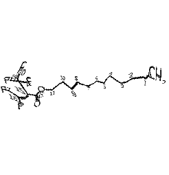 CCCCCCCCCCCCOC(=O)C(=C(F)F)C(F)(F)F